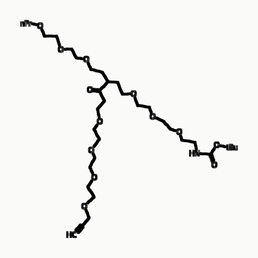 C#CCOCCOCCOCCOCCC(=O)C(CCOCCOCCOCCC)CCOCCOCCOCCNC(=O)OC(C)(C)C